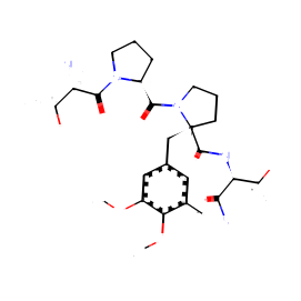 COc1cc(C[C@]2(C(=O)N[C@H](C(N)=O)[C@@H](C)O)CCCN2C(=O)[C@@H]2CCCN2C(=O)[C@@H](N)[C@@H](C)O)cc(C)c1OC